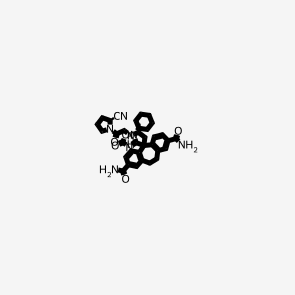 C[C@@H](CC1(c2nc(=O)on2C2CCCCC2)c2ccc(C(N)=O)cc2CCc2cc(C(N)=O)ccc21)NCC(=O)N1CCC[C@H]1C#N